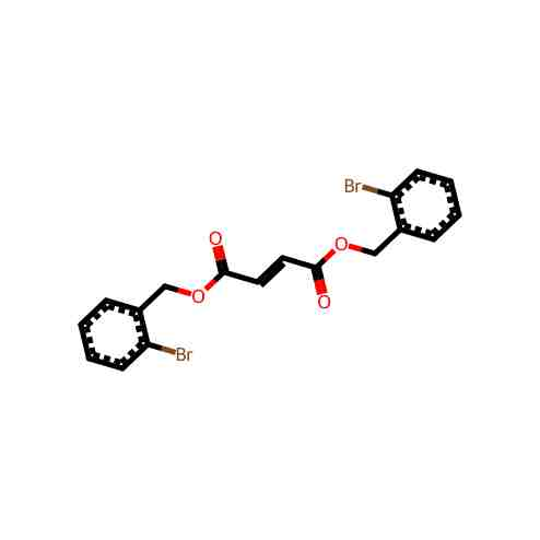 O=C(C=CC(=O)OCc1ccccc1Br)OCc1ccccc1Br